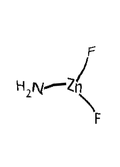 [NH2][Zn]([F])[F]